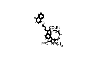 CCOC(=O)c1c(CCCOc2cccc3ccccc23)c2cccc3c2n1CCCCOCc1c-3c(COC(C)C)nn1C